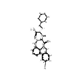 O=C(O)[C@H](CCC1CCCCC1)N[C@H]1COc2ccccc2N(Cc2ccc(F)cc2)C1=O